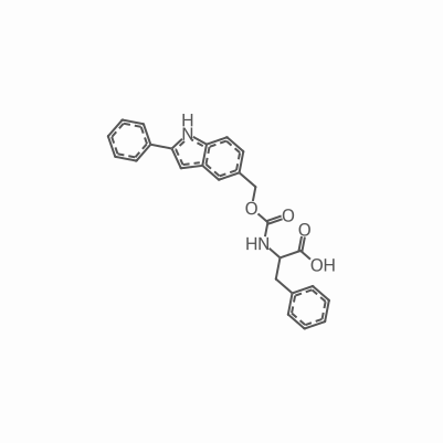 O=C(NC(Cc1ccccc1)C(=O)O)OCc1ccc2[nH]c(-c3ccccc3)cc2c1